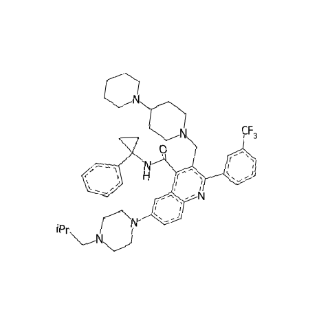 CC(C)CN1CCN(c2ccc3nc(-c4cccc(C(F)(F)F)c4)c(CN4CCC(N5CCCCC5)CC4)c(C(=O)NC4(c5ccccc5)CC4)c3c2)CC1